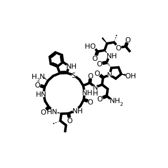 CC[C@H](C)[C@@H]1NC(=O)CNC(=O)[C@H](N)Cc2c([nH]c3ccccc23)SCC(C(=O)NC(CC(N)=O)C(=O)N2C[C@H](O)C[C@H]2C(=O)N[C@H](C(=O)O)[C@@H](C)[C@H](C)OC(C)=O)NC(=O)CNC1=O